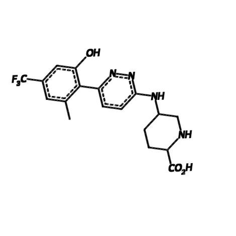 Cc1cc(C(F)(F)F)cc(O)c1-c1ccc(NC2CCC(C(=O)O)NC2)nn1